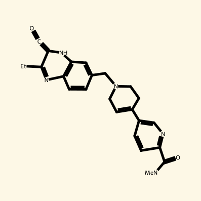 CCC1=Nc2ccc(CN3CC=C(c4ccc(C(=O)NC)nc4)CC3)cc2NC1=C=O